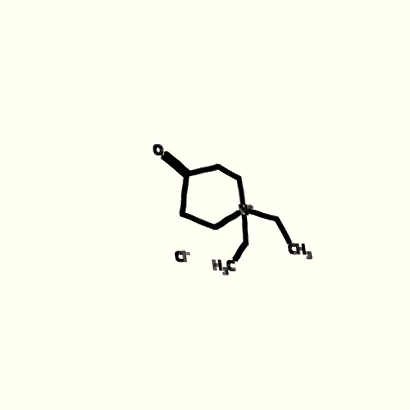 CC[N+]1(CC)CCC(=O)CC1.[Cl-]